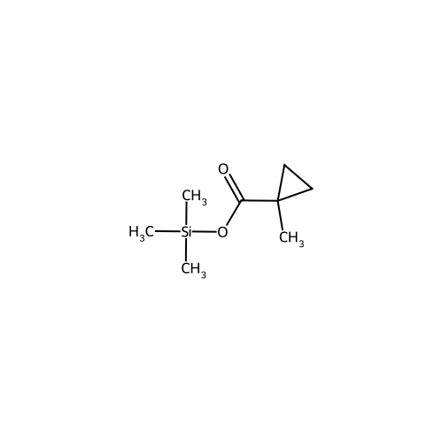 CC1(C(=O)O[Si](C)(C)C)CC1